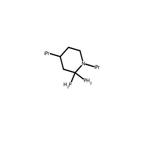 CC(C)C1CCN(C(C)C)C(P)(P)C1